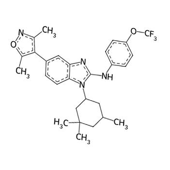 Cc1noc(C)c1-c1ccc2c(c1)nc(Nc1ccc(OC(F)(F)F)cc1)n2C1CC(C)CC(C)(C)C1